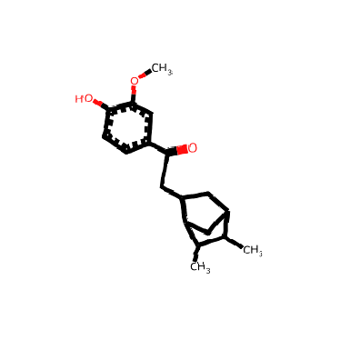 COc1cc(C(=O)CC2CC3CC2C(C)C3C)ccc1O